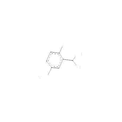 COc1ccc(Br)c(C(O)C(F)(F)F)c1